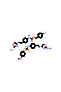 COc1ccc(OC(=O)Nc2ccc(CC[C@H]3COC(N)=N3)cc2)cc1.NC1=N[C@@H](CCc2ccc(NC(=O)OCc3ccc(Cl)cc3)cc2)CO1